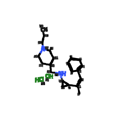 CC(=Cc1ccccc1)C1C[C@@H]1NCC1CCN(CCC#N)CC1.Cl.Cl